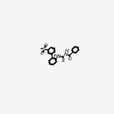 CS(=O)(=O)c1cccc(-c2ccccc2NC(=S)NC(=O)c2ccccc2)c1